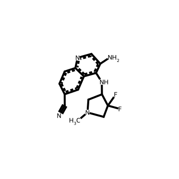 CN1CC(Nc2c(N)cnc3ccc(C#N)cc23)C(F)(F)C1